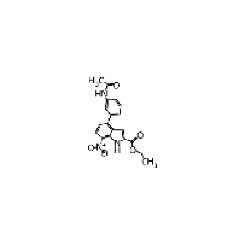 CCOC(=O)c1cc2c(-c3cccc(NC(C)=O)c3)ccc([N+](=O)[O-])c2[nH]1